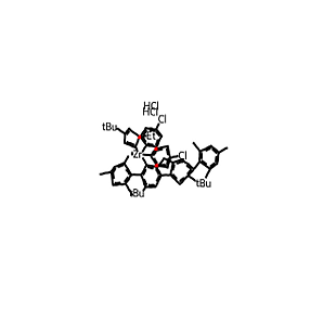 Cl.Cl.[CH2]=[Zr]([C]1=CC(C(C)(C)C)=CC1CC)([c]1ccc(Cl)cc1)([c]1ccc(Cl)cc1)[c]1c2c(cc(C(C)(C)C)c1-c1c(C)cc(C)cc1C)-c1cc(C(C)(C)C)c(-c3c(C)cc(C)cc3C)cc1C2